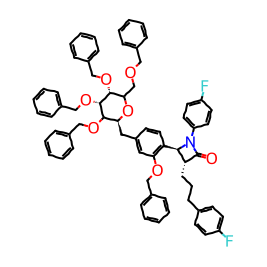 O=C1[C@H](CCCc2ccc(F)cc2)[C@@H](c2ccc(C[C@@H]3OC(COCc4ccccc4)[C@@H](OCc4ccccc4)[C@@H](OCc4ccccc4)C3OCc3ccccc3)cc2OCc2ccccc2)N1c1ccc(F)cc1